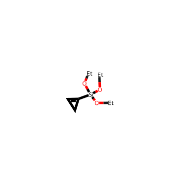 CCO[Si](OCC)(OCC)C1=CC1